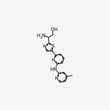 Cc1ccnc(Nc2cccc(-c3cnc(C(N)CO)s3)n2)c1